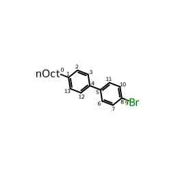 CCCCCCCCc1ccc(-c2ccc(Br)cc2)cc1